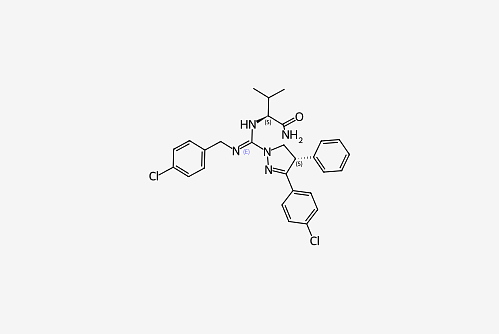 CC(C)[C@H](N/C(=N\Cc1ccc(Cl)cc1)N1C[C@H](c2ccccc2)C(c2ccc(Cl)cc2)=N1)C(N)=O